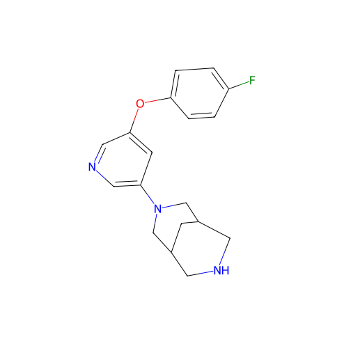 Fc1ccc(Oc2cncc(N3CC4CNCC(C4)C3)c2)cc1